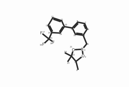 CC1OB(Cc2cccc(-c3cccc(C(F)(F)F)c3)c2)OC1(C)C